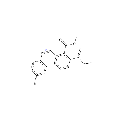 COC(=O)c1cccc(/C=N\c2ccc(O)cc2)c1C(=O)OC